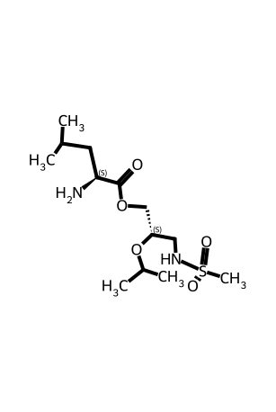 CC(C)C[C@H](N)C(=O)OC[C@H](CNS(C)(=O)=O)OC(C)C